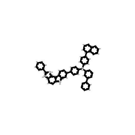 c1ccc(-c2cccc(N(c3ccc(-c4ccc5c(c4)oc4ccc6nc(-c7ccccc7)oc6c45)cc3)c3ccc(-c4cccc5ccccc45)cc3)c2)cc1